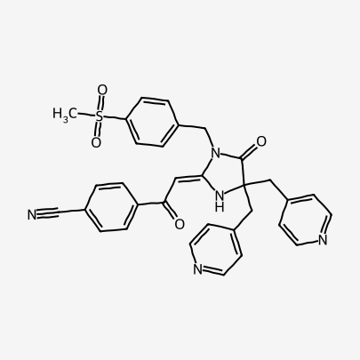 CS(=O)(=O)c1ccc(CN2C(=O)C(Cc3ccncc3)(Cc3ccncc3)NC2=CC(=O)c2ccc(C#N)cc2)cc1